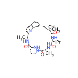 CC(C)C1NC(=O)C(C)(C)/C=C/c2ccc3ccc(nc3c2)[C@@H](C)NC(=O)[C@@H]2CCCN(N2)C(=O)[C@H](C)NC1=O